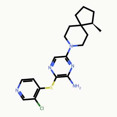 C[C@@H]1CCCC12CCN(c1cnc(Sc3ccncc3Cl)c(N)n1)CC2